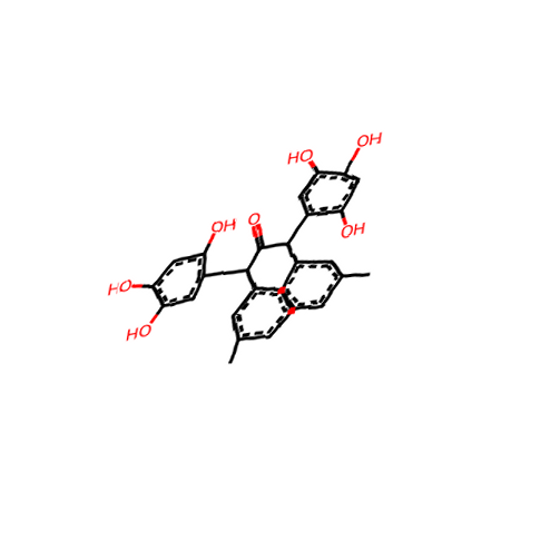 Cc1cccc(C(C(=O)C(c2cccc(C)c2)c2cc(O)c(O)cc2O)c2cc(O)c(O)cc2O)c1